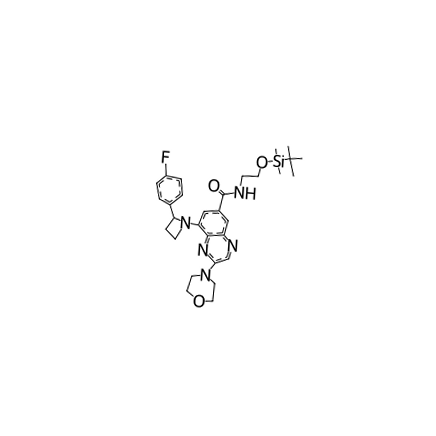 CC(C)(C)[Si](C)(C)OCCNC(=O)c1cc(N2CCC2c2ccc(F)cc2)c2nc(N3CCOCC3)cnc2c1